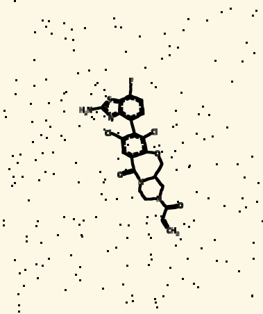 C=CC(=O)N1CCN2C(=O)c3cc(Cl)c(-c4ccc(F)c5sc(N)nc45)c(Cl)c3OCC2C1